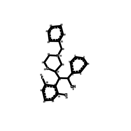 OC(c1ccccc1)C(c1c(F)cccc1Cl)C1CN(Cc2ccccc2)CCO1